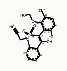 C#CCN1c2ncccc2C(O)=C(c2c(F)ccc(Cl)c2OCO)S1(=O)=O